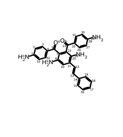 Nc1ccc(C(=O)c2c(N)cc(C=Cc3ccccc3)c(N)c2C(=O)c2ccc(N)cc2)cc1